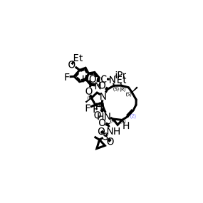 CCOc1cc2ccnc(O[C@]3(C)CN4C(=O)[C@@H](N(C(=O)O)C(C)C)[C@H](CC)C[C@@H](C)CC/C=C\[C@@H]5C[C@@]5(C(=O)NS(=O)(=O)C5(C)CC5)NC(=O)[C@H]4C3(F)F)c2cc1F